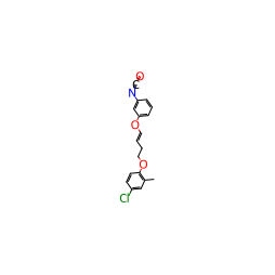 Cc1cc(Cl)ccc1OCCC=COc1cccc(N=C=O)c1